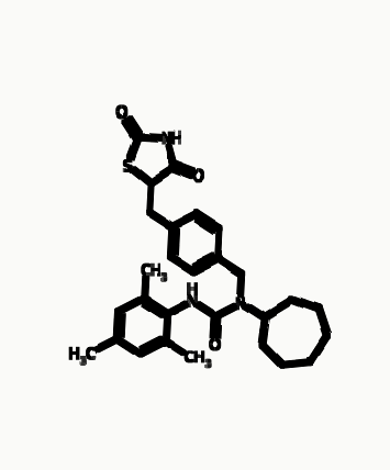 Cc1cc(C)c(NC(=O)N(Cc2ccc(CC3SC(=O)NC3=O)cc2)C2CCCCCC2)c(C)c1